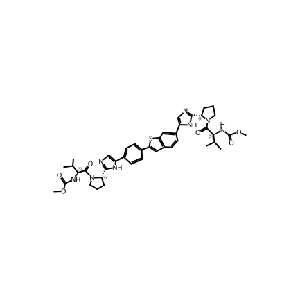 COC(=O)N[C@H](C(=O)N1CCC[C@H]1c1ncc(-c2ccc(-c3cc4ccc(-c5cnc([C@@H]6CCCN6C(=O)[C@@H](NC(=O)OC)C(C)C)[nH]5)cc4s3)cc2)[nH]1)C(C)C